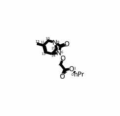 CCCOC(=O)CON1C(=O)N2CC(C)=CC1C2